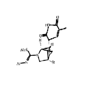 CC[C@@]12CN(/C(=N/C(C)=O)SC)[C@@H]([C@H](C3C=C(C)C(=O)NC3=O)O1)[C@@H]2C